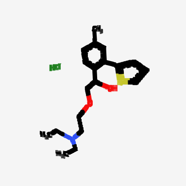 CCN(CC)CCOCC(O)c1ccc(C)cc1-c1cccs1.Cl